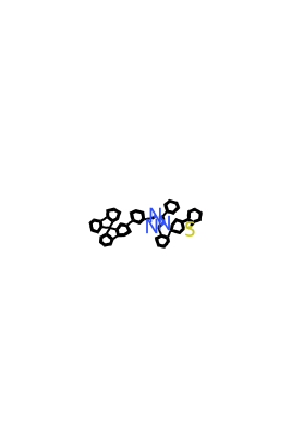 c1ccc(-c2nc(-c3cccc(-c4ccc5c(c4)C4(c6ccccc6-c6ccccc64)c4ccccc4-5)c3)nc(-c3ccccc3-c3ccc4c(c3)sc3ccccc34)n2)cc1